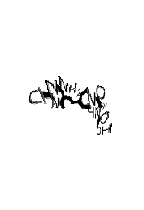 Cc1nc(Cl)nc(N)c1CCC1CCN(C(=O)[C@H](C)NC(=O)CO)CC1